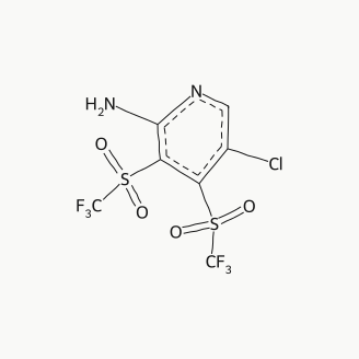 Nc1ncc(Cl)c(S(=O)(=O)C(F)(F)F)c1S(=O)(=O)C(F)(F)F